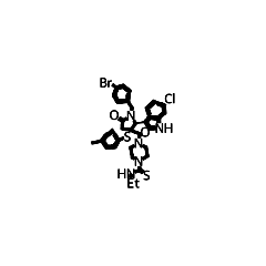 CCNC(=S)N1CCN(C(=O)[C@]2(Sc3ccc(C)cc3)CC(=O)N(Cc3ccc(Br)cc3)[C@H]2c2c[nH]c3cc(Cl)ccc23)CC1